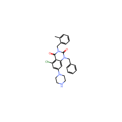 Cc1ccccc1Cn1c(=O)c2c(Cl)cc(N3CCNCC3)cc2n(Cc2ccccc2)c1=O